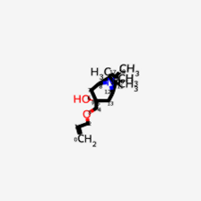 C=CCOC[C@@]1(O)CC2C[C@@H](C)C(C1)N2C(C)(C)C